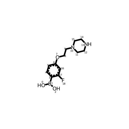 OB(O)c1ccc(OCCN2CCNCC2)cc1F